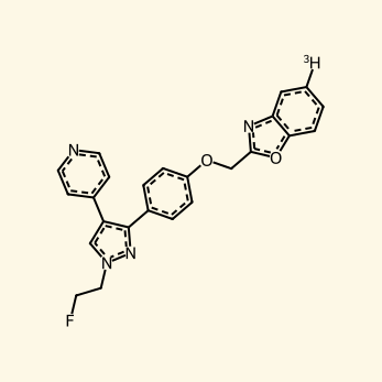 [3H]c1ccc2oc(COc3ccc(-c4nn(CCF)cc4-c4ccncc4)cc3)nc2c1